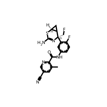 Cc1cc(C#N)cnc1C(=O)Nc1ccc(F)c([C@@]2(CF)N=C(N)S[C@H]3CC32)c1